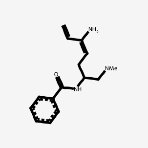 C=C/C(N)=C\CC(CNC)NC(=O)c1ccccc1